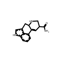 NC(=O)C1C=C2c3cccc4[nH]cc(c34)CC2NC1